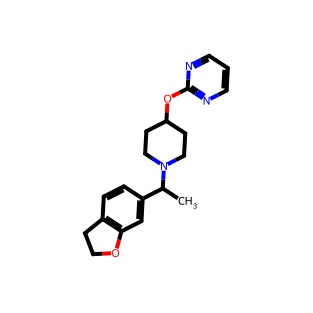 CC(c1ccc2c(c1)OCC2)N1CCC(Oc2ncccn2)CC1